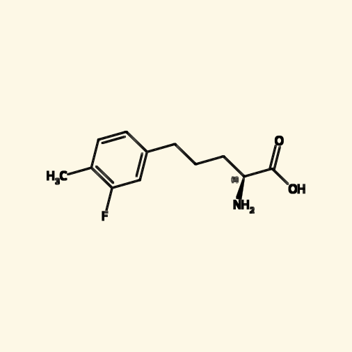 Cc1ccc(CCC[C@H](N)C(=O)O)cc1F